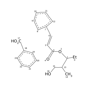 CCC(OC(=O)C=Cc1ccccc1)C(C)CO.O=C(O)c1ccccc1